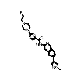 Cn1cc(-c2ccc3cnc(NC(=O)c4csc(N5CCN(CCF)CC5)n4)cc3c2)cn1